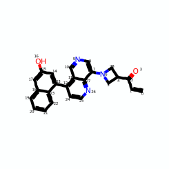 C=CC(=O)C1CN(c2cncc3c(-c4cc(O)cc5ccccc45)ccnc23)C1